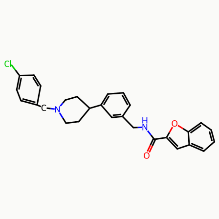 O=C(NCc1cccc(C2CCN(Cc3ccc(Cl)cc3)CC2)c1)c1cc2ccccc2o1